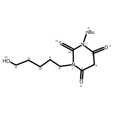 CCCCN1C(=O)CC(=O)N(CCCCCO)C1=S